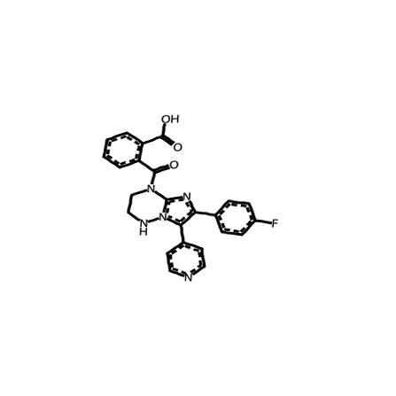 O=C(O)c1ccccc1C(=O)N1CCNn2c1nc(-c1ccc(F)cc1)c2-c1ccncc1